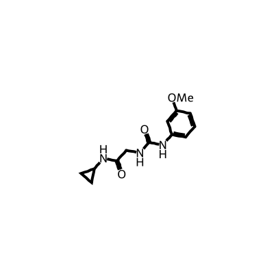 COc1cccc(NC(=O)NCC(=O)NC2CC2)c1